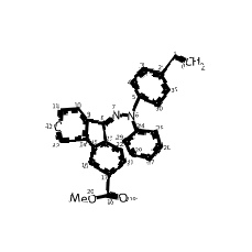 C=Cc1ccc(N(/N=C2/c3ccccc3-c3cc(C(=O)OC)ccc32)c2ccccc2)cc1